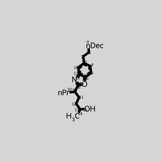 CCCCCCCCCCCCc1ccc2oc(C(CCC)CCC(C)O)nc2c1